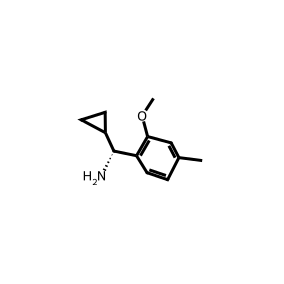 COc1cc(C)ccc1[C@H](N)C1CC1